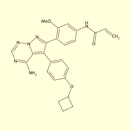 C=CC(=O)Nc1ccc(-c2nn3ncnc(N)c3c2-c2ccc(OC3CCC3)cc2)c(OC)c1